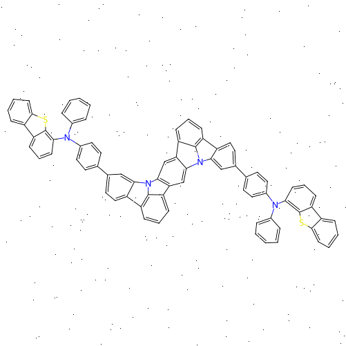 c1ccc(N(c2ccc(-c3ccc4c5cccc6c7cc8c(cc7n(c4c3)c56)c3cccc4c5ccc(-c6ccc(N(c7ccccc7)c7cccc9c7sc7ccccc79)cc6)cc5n8c43)cc2)c2cccc3c2sc2ccccc23)cc1